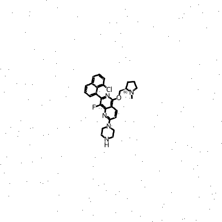 CN1CCC[C@@H]1COc1nc(-c2cccc3cccc(Cl)c23)c(F)c2nc(N3CCNCC3)ccc12